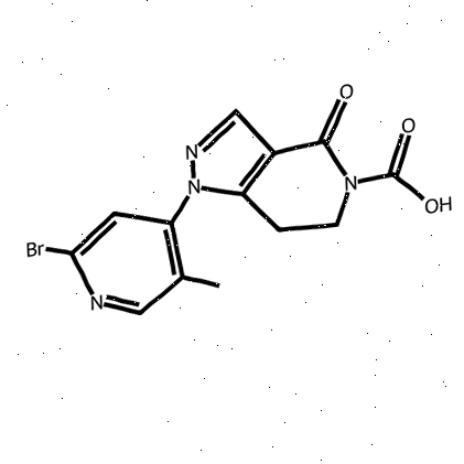 Cc1cnc(Br)cc1-n1ncc2c1CCN(C(=O)O)C2=O